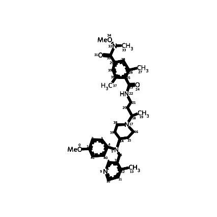 COc1ccc(N(Cc2cnccc2C)C2CCN(C(C)CCNC(=O)c3c(C)cc(C(=O)N(C)OC)cc3C)CC2)cc1